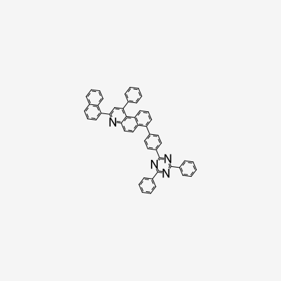 c1ccc(-c2nc(-c3ccccc3)nc(-c3ccc(-c4cccc5c4ccc4nc(-c6cccc7ccccc67)cc(-c6ccccc6)c45)cc3)n2)cc1